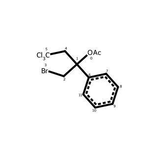 CC(=O)OC(CBr)(CC(Cl)(Cl)Cl)c1ccccc1